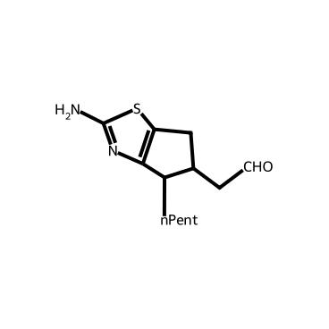 CCCCCC1c2nc(N)sc2CC1CC=O